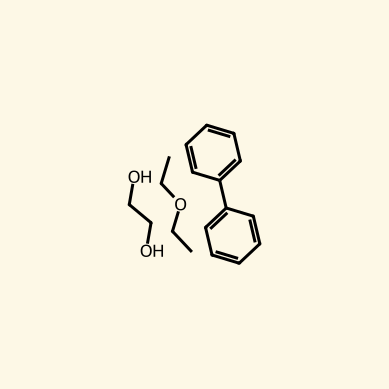 CCOCC.OCCO.c1ccc(-c2ccccc2)cc1